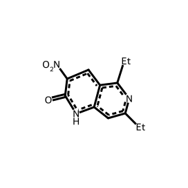 CCc1cc2[nH]c(=O)c([N+](=O)[O-])cc2c(CC)n1